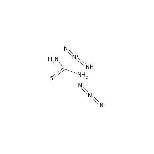 NC(N)=S.[N-]=[N+]=N.[N-]=[N+]=[N-]